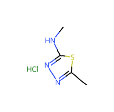 CNc1nnc(C)s1.Cl